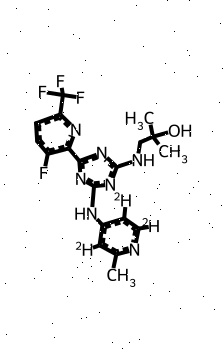 [2H]c1nc(C)c([2H])c(Nc2nc(NCC(C)(C)O)nc(-c3nc(C(F)(F)F)ccc3F)n2)c1[2H]